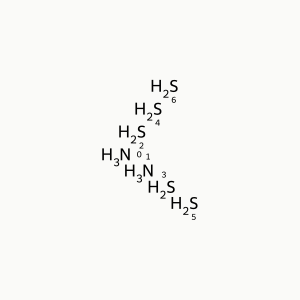 N.N.S.S.S.S.S